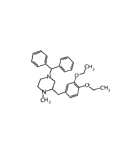 CCOc1ccc(CC2CN(C(c3ccccc3)c3ccccc3)CCN2C)cc1OCC